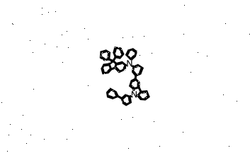 c1ccc(-c2cccc(-n3c4ccccc4c4cc(-c5cccc(N(c6ccccc6)c6ccc7c(c6)C(c6ccccc6)(c6ccccc6)c6ccccc6-7)c5)ccc43)c2)cc1